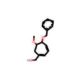 COC1CC(CO)=CC=CC1OCc1ccccc1